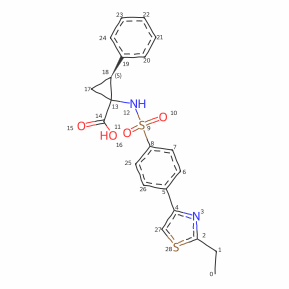 CCc1nc(-c2ccc(S(=O)(=O)NC3(C(=O)O)C[C@H]3c3ccccc3)cc2)cs1